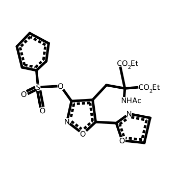 CCOC(=O)C(Cc1c(OS(=O)(=O)c2ccccc2)noc1-c1ncco1)(NC(C)=O)C(=O)OCC